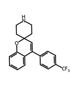 FC(F)(F)c1ccc(C2=CC3(CCNCC3)Oc3ccccc32)cc1